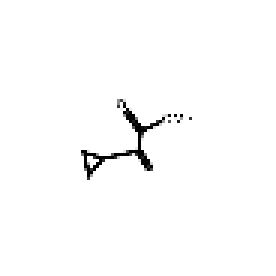 C=C(C(=O)OC)C1CC1